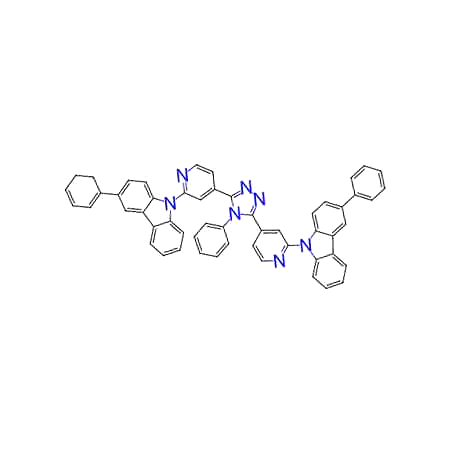 C1=CCCC(c2ccc3c(c2)c2ccccc2n3-c2cc(-c3nnc(-c4ccnc(-n5c6ccccc6c6cc(-c7ccccc7)ccc65)c4)n3-c3ccccc3)ccn2)=C1